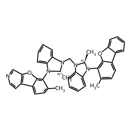 Cc1ccc2c(oc3ccccc32)c1N1c2ccccc2N(CN2c3ccccc3N(c3c(C)ccc4c3oc3cnccc34)[C@H]2C)[C@H]1C